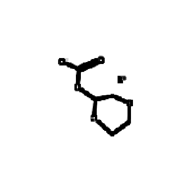 O=C([O-])OC1COCCO1.[K+]